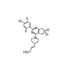 O=S1(=O)Cc2nc(-c3cc(F)c(Cl)cc3F)nc(N3CCC(C=CCO)CC3)c2C1